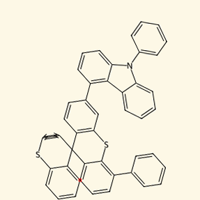 c1ccc(-c2cccc3c2Sc2cc(-c4cccc5c4c4ccccc4n5-c4ccccc4)ccc2C32c3ccccc3Sc3ccccc32)cc1